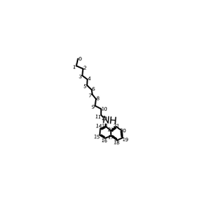 CCCCCCCCCCCCNc1cccc2ccccc12